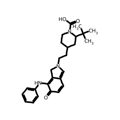 CC(C)(C)C1CC(CCN2C=C3C=CC(=O)C(Nc4ccccc4)=C3C2)CCN1C(=O)O